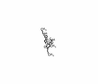 CCCCCCN1C=C(C)C(=O)N(C)[C@@H](Cc2ccc(-c3cccc(CNCCCC)c3)cc2)C1=O.CNC=O